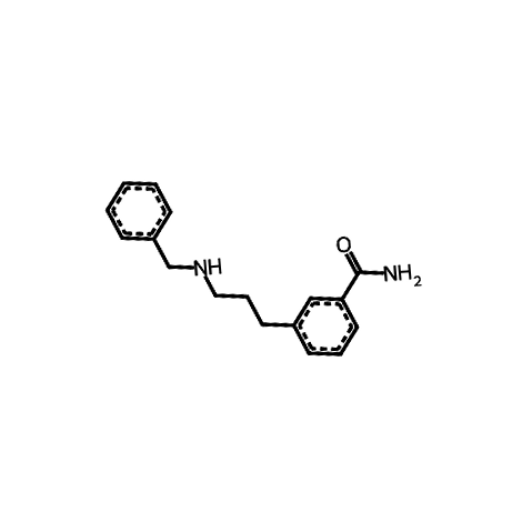 NC(=O)c1cccc(CCCNCc2ccccc2)c1